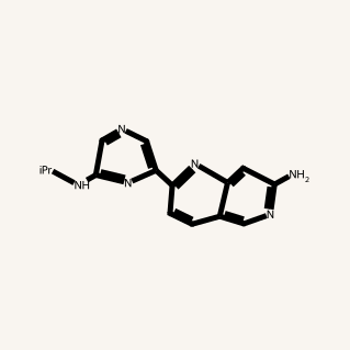 CC(C)Nc1cncc(-c2ccc3cnc(N)cc3n2)n1